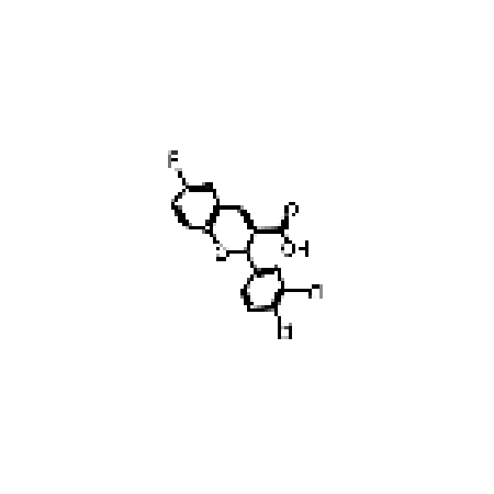 O=C(O)C1=Cc2cc(F)ccc2OC1c1ccc(Cl)c(Cl)c1